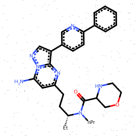 CCCN(C(=O)C1COCCN1)[C@H](CC)CCc1cc(N)n2ncc(-c3ccc(-c4ccccc4)nc3)c2n1